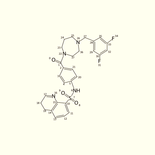 O=C(c1ccc(NS(=O)(=O)c2cccc3c2N=CCC3)cc1)N1CCCN(Cc2cc(F)cc(F)c2)CC1